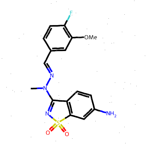 COc1cc(/C=N/N(C)C2=NS(=O)(=O)c3cc(N)ccc32)ccc1F